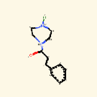 O=C(CCc1ccccc1)N1CCN(Cl)CC1